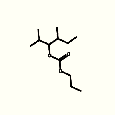 CCCOC(=O)OC(C(C)C)C(C)CC